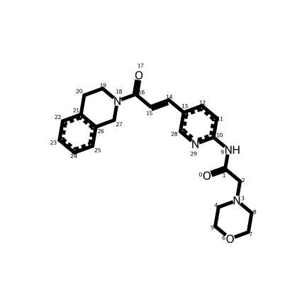 O=C(CN1CCOCC1)Nc1ccc(C=CC(=O)N2CCc3ccccc3C2)cn1